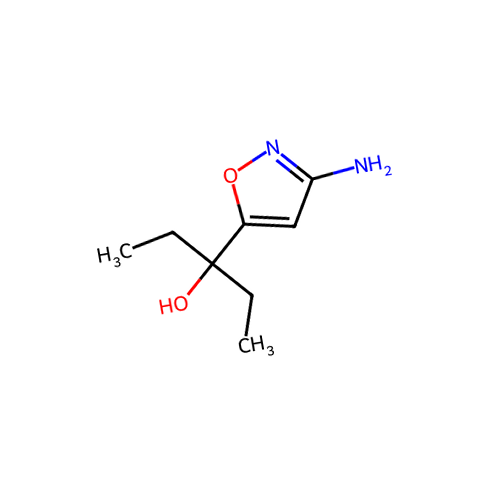 CCC(O)(CC)c1cc(N)no1